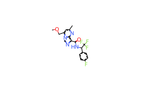 COCc1cc(C)nc2c(C(=O)NC(c3ccc(F)cc3)C(F)(F)F)ncn12